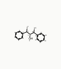 ON(C(I)c1ccccc1)C(I)c1ccccc1